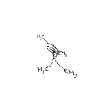 CCCCCCCCCCC(C)C(=O)OCC(CCCCC)CCCCCCCCC